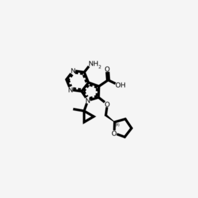 CC1(n2c(OC[C@H]3CCCO3)c(C(=O)O)c3c(N)ncnc32)CC1